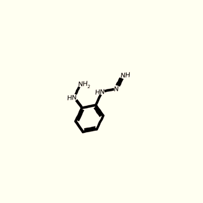 N=NNc1ccccc1NN